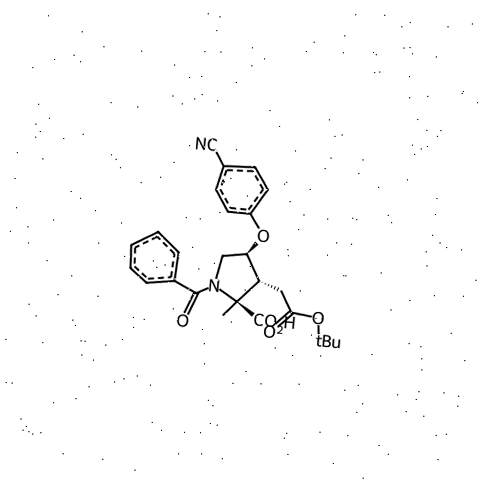 CC(C)(C)OC(=O)C[C@H]1[C@H](Oc2ccc(C#N)cc2)CN(C(=O)c2ccccc2)[C@]1(C)C(=O)O